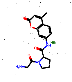 Br.Cc1cc(=O)oc2cc(NC(=O)C3CCCN3C(=O)CN)ccc12